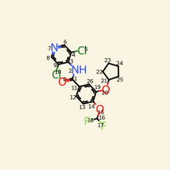 O=C(Nc1c(Cl)cncc1Cl)c1ccc(OC(F)F)c(OC2CCCC2)c1